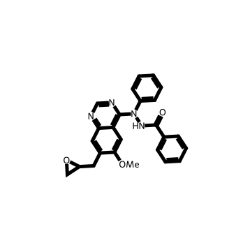 COc1cc2c(N(NC(=O)c3ccccc3)c3ccccc3)ncnc2cc1CC1CO1